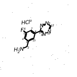 Cl.NCc1cc(F)cc(-c2nncnn2)c1